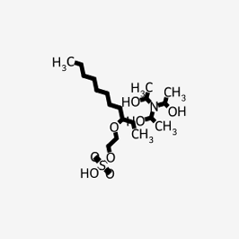 CC(O)N(C(C)O)C(C)O.CCCCCCCCC(CC)OCCOS(=O)(=O)O